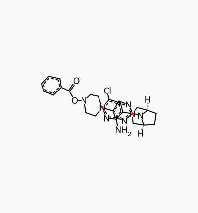 Nc1nnc(Cl)cc1N1C[C@H]2CC[C@@H](C1)N2c1ncc(N2CCN(OC(=O)c3ccccc3)CC2)cn1